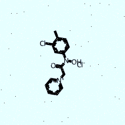 Cc1ccc(N(O)C(=O)C[n+]2ccccc2)cc1Cl.[Cl-]